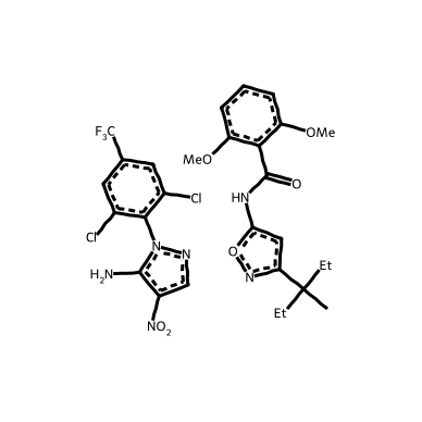 CCC(C)(CC)c1cc(NC(=O)c2c(OC)cccc2OC)on1.Nc1c([N+](=O)[O-])cnn1-c1c(Cl)cc(C(F)(F)F)cc1Cl